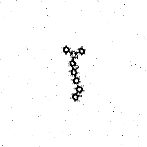 c1ccc(-c2nc(-c3ccccc3)nc(-c3ccc4c(c3)oc3cc(-c5ccc(-c6ccc7sc8ccccc8c7c6)cc5)ccc34)n2)cc1